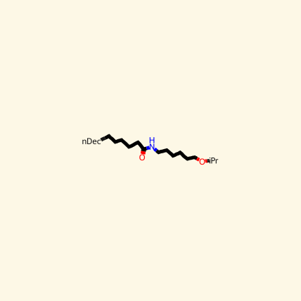 CCCCCCCCCCCCCCCC(=O)NCCCCCCOC(C)C